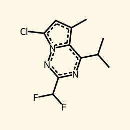 Cc1cc(Cl)n2nc(C(F)F)nc(C(C)C)c12